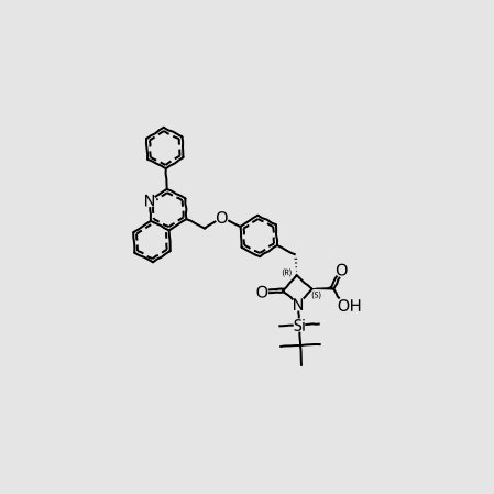 CC(C)(C)[Si](C)(C)N1C(=O)[C@H](Cc2ccc(OCc3cc(-c4ccccc4)nc4ccccc34)cc2)[C@H]1C(=O)O